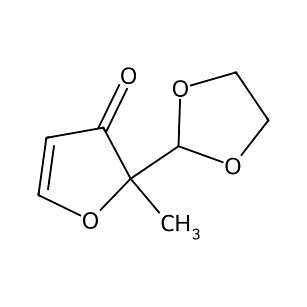 CC1(C2OCCO2)OC=CC1=O